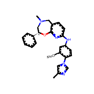 COc1cc(Nc2ccc3c(n2)O[C@H](c2ccccc2)CN(C)C3)ccc1-n1cnc(C)c1